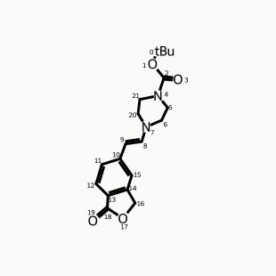 CC(C)(C)OC(=O)N1CCN(C=Cc2ccc3c(c2)COC3=O)CC1